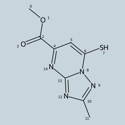 COC(=O)c1cc(S)n2nc(C)nc2n1